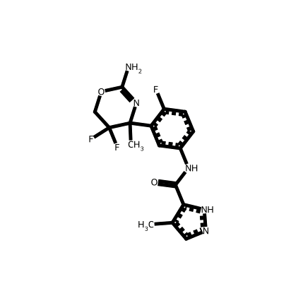 Cc1cn[nH]c1C(=O)Nc1ccc(F)c(C2(C)N=C(N)OCC2(F)F)c1